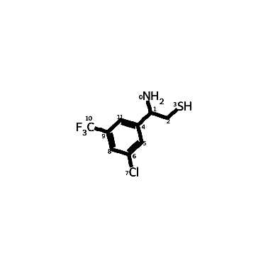 NC(CS)c1cc(Cl)cc(C(F)(F)F)c1